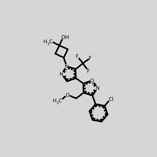 COCc1c(-c2ccccc2Cl)noc1-c1cnn(C2CC(C)(O)C2)c1C(F)(F)F